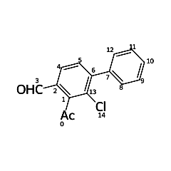 CC(=O)c1c(C=O)ccc(-c2ccccc2)c1Cl